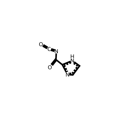 O=C=NC(=O)c1ncc[nH]1